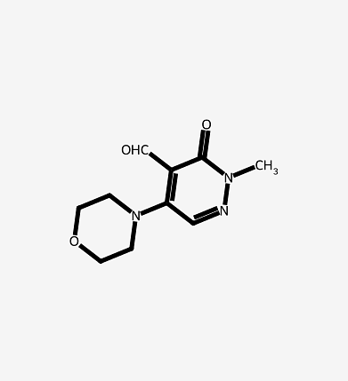 Cn1ncc(N2CCOCC2)c(C=O)c1=O